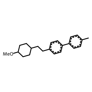 COC1CCC(CCc2ccc(-c3ccc(C)cc3)cc2)CC1